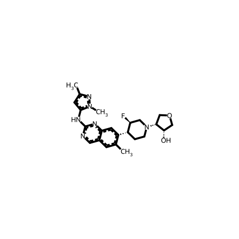 Cc1cc(Nc2ncc3cc(C)c([C@H]4CCN([C@@H]5COC[C@@H]5O)C[C@@H]4F)cc3n2)n(C)n1